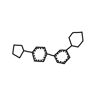 [c]1ccc(-c2ccc(C3CCCC3)cc2)cc1C1CCCCC1